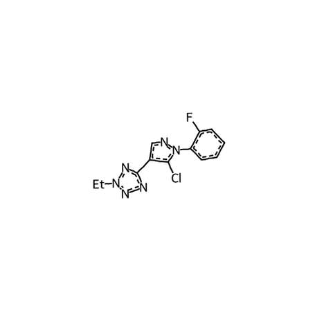 CCn1nnc(-c2cnn(-c3ccccc3F)c2Cl)n1